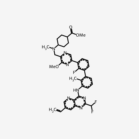 C=Cc1cnc2c(Nc3cccc(-c4cccc(-c5cnc(CN(C)C6CCC(C(=O)OC)CC6)c(OC)n5)c4F)c3C)nc(C(F)F)nc2c1